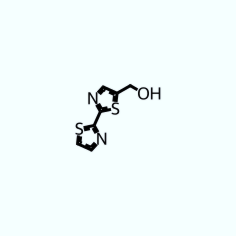 OCc1cnc(-c2nccs2)s1